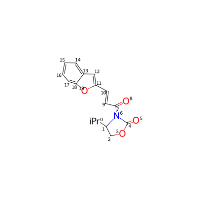 CC(C)C1COC(=O)N1C(=O)C=Cc1cc2ccccc2o1